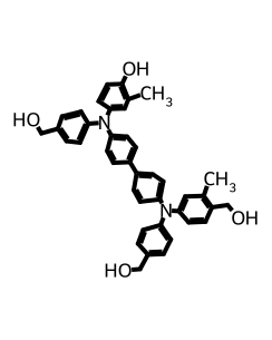 Cc1cc(N(c2ccc(CO)cc2)c2ccc(-c3ccc(N(c4ccc(CO)cc4)c4ccc(CO)c(C)c4)cc3)cc2)ccc1O